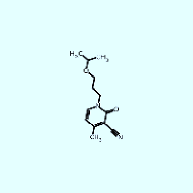 Cc1ccn(CCCOC(C)C)c(=O)c1C#N